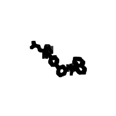 CC(C)CCc1nc(-c2ccc(C3CCCC(N[C@H](C)c4cccc5ccccc45)C3)cc2)no1